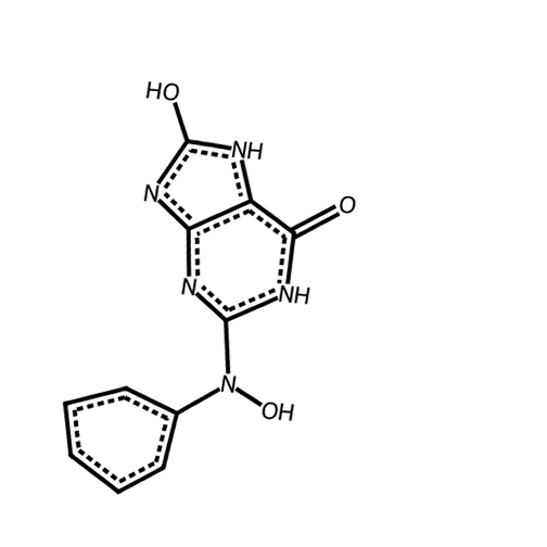 O=c1[nH]c(N(O)c2ccccc2)nc2nc(O)[nH]c12